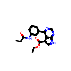 CCOC(=O)c1c[nH]c2ncnc(-c3cccc(NC(=O)CC)c3)c12